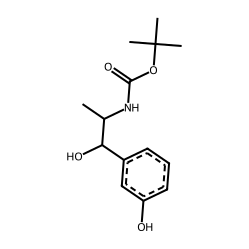 CC(NC(=O)OC(C)(C)C)C(O)c1cccc(O)c1